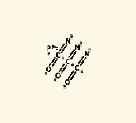 [N-]=C=O.[N-]=C=O.[N-]=C=O.[P+3]